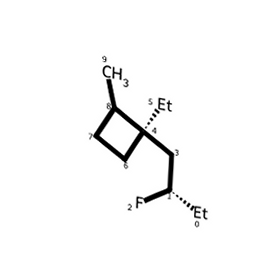 CC[C@H](F)C[C@@]1(CC)CCC1C